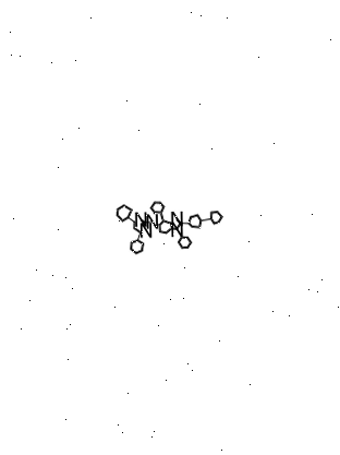 c1ccc(-c2ccc(-c3nc4c5c6ccccc6n(-c6nc(-c7ccccc7)cc(-c7ccccc7)n6)c5ccc4n3-c3ccccc3)cc2)cc1